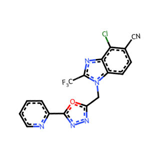 N#Cc1ccc2c(nc(C(F)(F)F)n2Cc2nnc(-c3ccccn3)o2)c1Cl